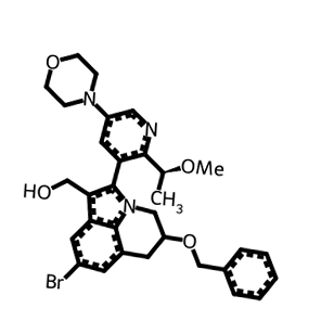 CO[C@@H](C)c1ncc(N2CCOCC2)cc1-c1c(CO)c2cc(Br)cc3c2n1CC(OCc1ccccc1)C3